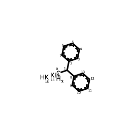 CC(c1ccccc1)c1ccccc1.[KH].[KH]